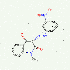 CN1C(=O)/C(=N\Nc2cccc([N+](=O)[O-])c2)C(=O)c2ccccc21